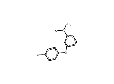 N[S+]([O-])c1cccc(Oc2ccc(Cl)cc2)c1